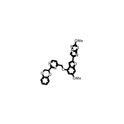 COc1cc(OCc2ccnc(C3COc4ccccc4O3)n2)c2cc(-c3cn4nc(OC)sc4n3)oc2c1